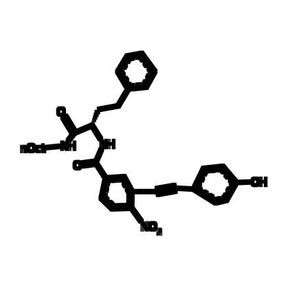 CCCCCCCCNC(=O)[C@H](CCc1ccccc1)NC(=O)c1ccc([N+](=O)[O-])c(C#Cc2ccc(O)cc2)c1